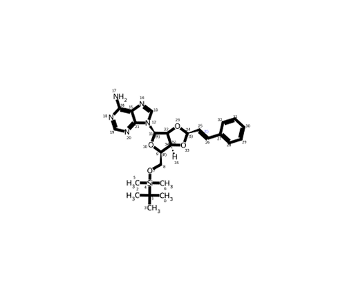 CC(C)(C)[Si](C)(C)OC[C@H]1O[C@@H](n2cnc3c(N)ncnc32)C2O[C@@H](/C=C/c3ccccc3)O[C@H]21